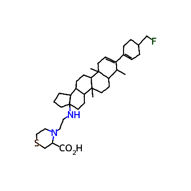 CC1C(C2=CCC(CF)CC2)=CCC2(C)C1CCC1(C)C3CCC4(NCCN5CCSCC5C(=O)O)CCCC4C3CCC21